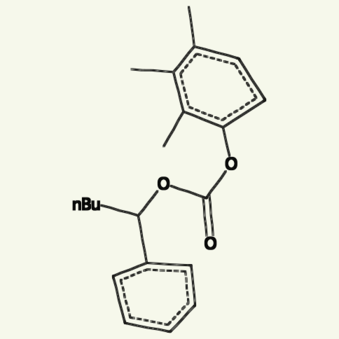 CCCCC(OC(=O)Oc1ccc(C)c(C)c1C)c1ccccc1